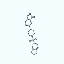 O=S(=O)(c1ccc2ncsc2c1)N1CCC(c2cc3[nH]ncc3cn2)CC1